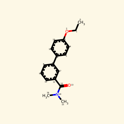 CCOc1ccc(-c2cccc(C(=O)N(C)C)c2)cc1